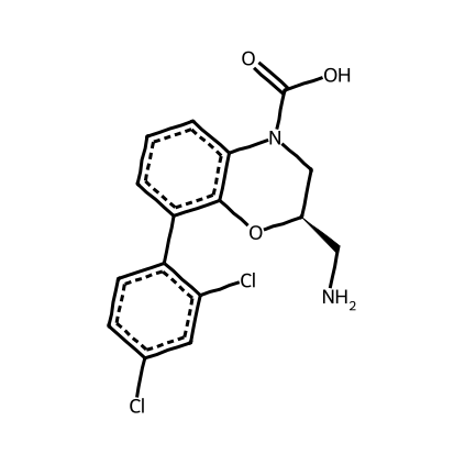 NC[C@@H]1CN(C(=O)O)c2cccc(-c3ccc(Cl)cc3Cl)c2O1